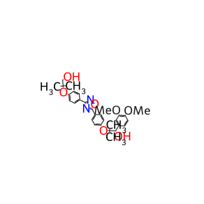 COc1ccc(C(O)C(C)(C)Oc2ccc(-c3nc(-c4ccc(OC(C)(C)CO)cc4)no3)cc2)cc1OC